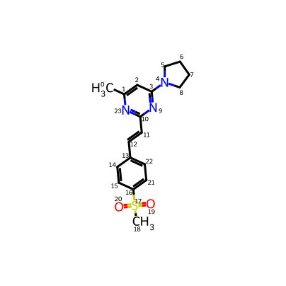 Cc1cc(N2CCCC2)nc(C=Cc2ccc(S(C)(=O)=O)cc2)n1